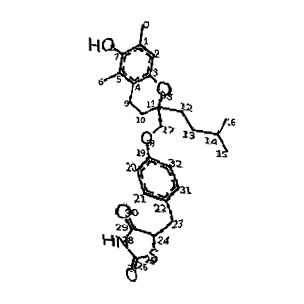 Cc1cc2c(c(C)c1O)CCC(CCC(C)C)(COc1ccc(CC3SC(=O)NC3=O)cc1)O2